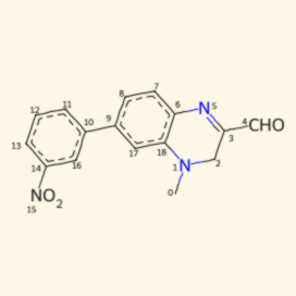 CN1CC(C=O)=Nc2ccc(-c3cccc([N+](=O)[O-])c3)cc21